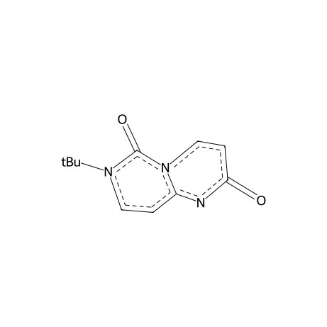 CC(C)(C)n1ccc2nc(=O)ccn2c1=O